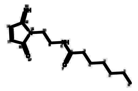 CCCCCCC(=O)NCCN1C(=N)C=CC1=O